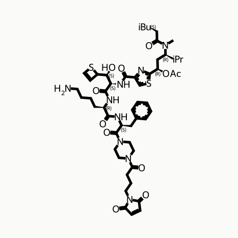 CC[C@H](C)CC(=O)N(C)[C@H](C[C@@H](OC(C)=O)c1nc(C(=O)N[C@H](C(=O)N[C@H](CCCCN)C(=O)N[C@@H](Cc2ccccc2)C(=O)N2CCN(C(=O)CCCN3C(=O)C=CC3=O)CC2)[C@H](O)C2C=CS2)cs1)C(C)C